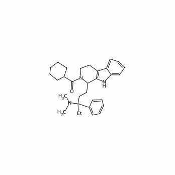 CCC(CCC1c2[nH]c3ccccc3c2CCN1C(=O)C1CCCCC1)(c1ccccc1)N(C)C